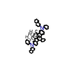 CC1(C)c2cc(N(c3ccccc3)c3ccc4ccccc4c3)ccc2-c2c1c1c(c3ccccc23)-c2ccc(N(c3ccccc3)c3ccc4ccccc4c3)cc2C1(C)C